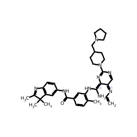 C=C/N=C1/C=NC(N2CCC(CN3CCCC3)CC2)=N/C1=C(/N)Nc1cc(C(=O)Nc2ccc3c(c2)C(C)(C)C(C)=N3)ccc1C